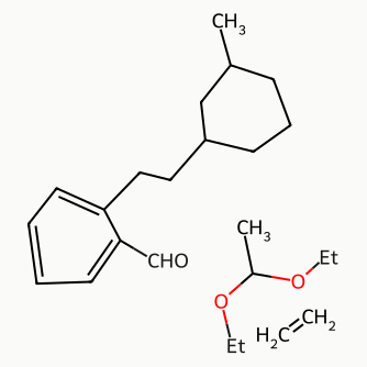 C=C.CC1CCCC(CCc2ccccc2C=O)C1.CCOC(C)OCC